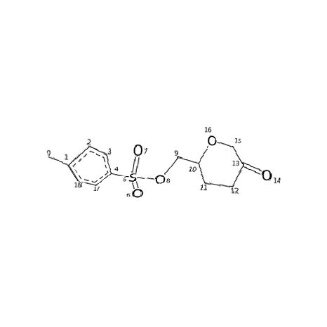 Cc1ccc(S(=O)(=O)OCC2CCC(=O)CO2)cc1